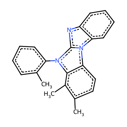 Cc1ccccc1-n1c2c(C)c(C)ccc2n2c3ccccc3nc12